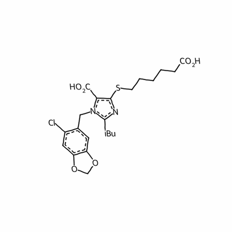 CCC(C)c1nc(SCCCCCC(=O)O)c(C(=O)O)n1Cc1cc2c(cc1Cl)OCO2